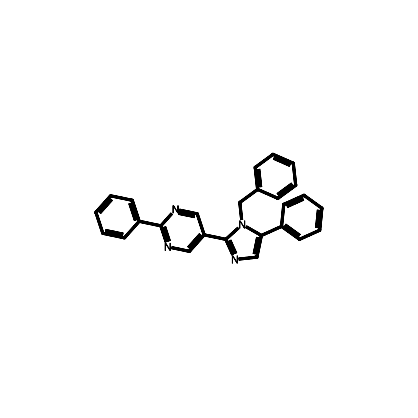 c1ccc(Cn2c(-c3ccccc3)cnc2-c2cnc(-c3ccccc3)nc2)cc1